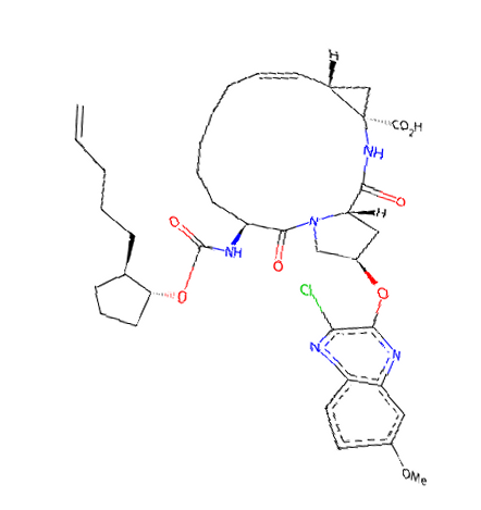 C=CCCC[C@@H]1CCC[C@H]1OC(=O)N[C@H]1CCCCCC=C[C@@H]2C[C@@]2(C(=O)O)NC(=O)[C@@H]2C[C@@H](Oc3nc4cc(OC)ccc4nc3Cl)CN2C1=O